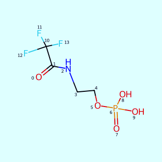 O=C(NCCOP(=O)(O)O)C(F)(F)F